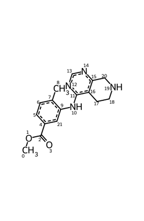 COC(=O)c1ccc(C)c(Nc2ncnc3c2CCNC3)c1